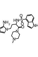 CN1CCN(C(=O)C(CCn2cccc2N)NS(=O)(=O)c2cccc3[nH]ccc23)CC1